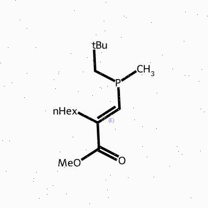 CCCCCC/C(=C\P(C)CC(C)(C)C)C(=O)OC